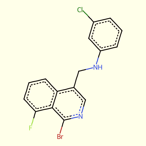 Fc1cccc2c(CNc3cccc(Cl)c3)cnc(Br)c12